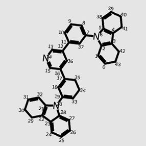 C1=Cc2c(c3c(n2-c2cccc(-c4cncc(C5=CC(n6c7c(c8ccccc86)CCC=C7)=CCC5)c4)c2)C=CCC3)CC1